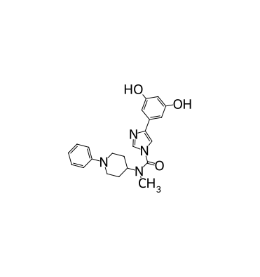 CN(C(=O)n1cnc(-c2cc(O)cc(O)c2)c1)C1CCN(c2ccccc2)CC1